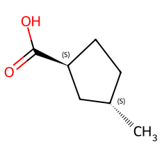 C[C@H]1CC[C@H](C(=O)O)C1